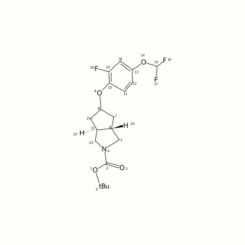 CC(C)(C)OC(=O)N1C[C@H]2CC(Oc3ccc(OC(F)F)cc3F)C[C@@H]2C1